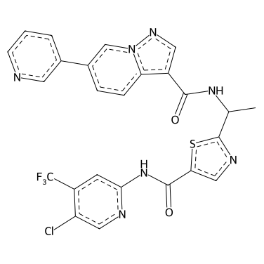 CC(NC(=O)c1cnn2cc(-c3cccnc3)ccc12)c1ncc(C(=O)Nc2cc(C(F)(F)F)c(Cl)cn2)s1